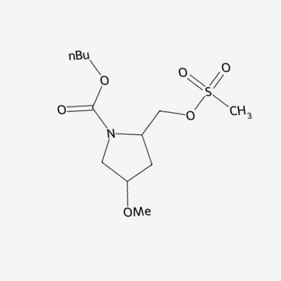 CCCCOC(=O)N1CC(OC)CC1COS(C)(=O)=O